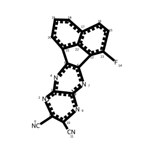 N#Cc1nc2nc3c(nc2nc1C#N)-c1c(F)ccc2cccc-3c12